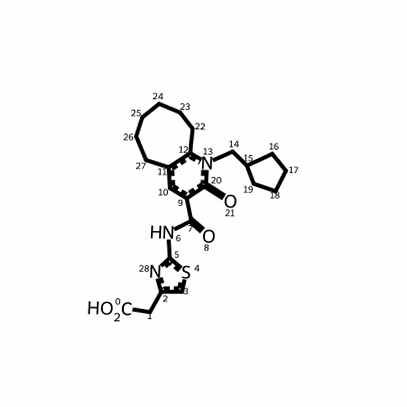 O=C(O)Cc1csc(NC(=O)c2cc3c(n(CC4CCCC4)c2=O)CCCCCC3)n1